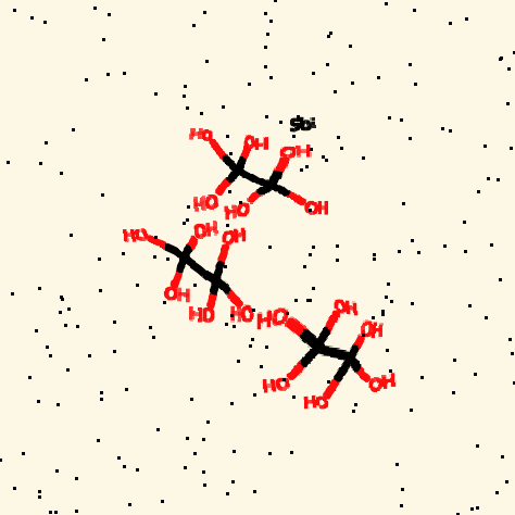 OC(O)(O)C(O)(O)O.OC(O)(O)C(O)(O)O.OC(O)(O)C(O)(O)O.[Sb]